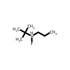 CCC[SiH](F)C(C)(C)C